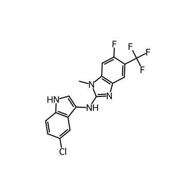 Cn1c(Nc2c[nH]c3ccc(Cl)cc23)nc2cc(C(F)(F)F)c(F)cc21